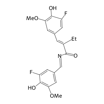 CC/C(=C\c1cc(F)c(O)c(OC)c1)C(=O)/N=C/c1cc(F)c(O)c(OC)c1